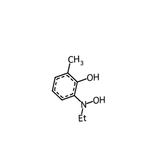 CCN(O)c1cccc(C)c1O